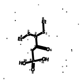 CCSN(SCC)C(=O)CP(=O)(O)O